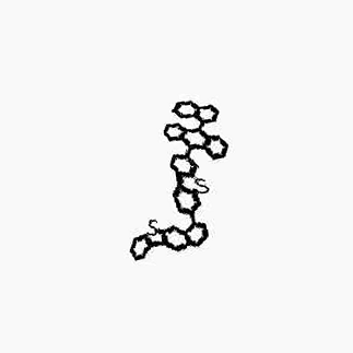 c1cc(-c2ccc3c(c2)sc2cc(-c4c5ccccc5c(-c5cccc6ccccc56)c5ccccc45)ccc23)c2cc3sc4ccccc4c3cc2c1